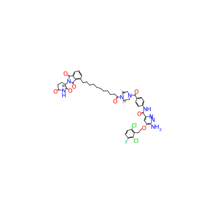 C[C@@H]1CN(C(=O)c2ccc(NC(=O)c3cc(OCCc4c(Cl)ccc(F)c4Cl)c(N)nn3)cc2)C[C@H](C)N1C(=O)CCCCCCCCCCc1cccc2c1C(=O)N([C@@H]1CCC(=O)NC1=O)C2=O